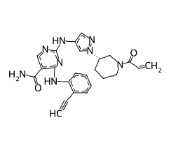 C#Cc1ccccc1Nc1nc(Nc2cnn([C@H]3CCCN(C(=O)C=C)C3)c2)ncc1C(N)=O